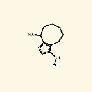 CNn1nnc2c1CCCCCC2C